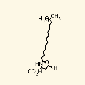 CN(C)CCCCCCCCCCCCC(=O)NC(CCS)C(=O)O